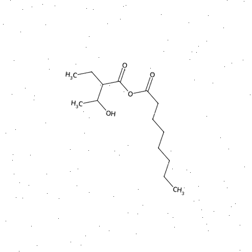 CCCCCCCC(=O)OC(=O)C(CC)C(C)O